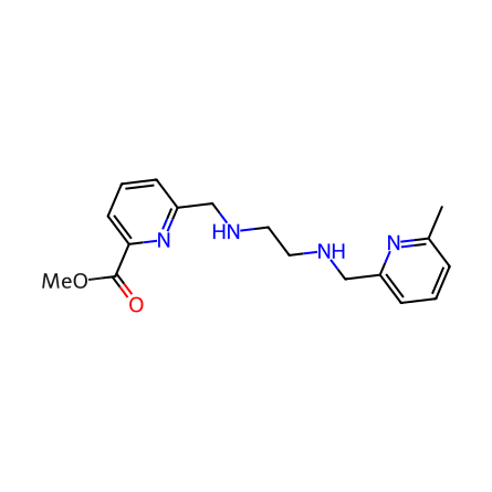 COC(=O)c1cccc(CNCCNCc2cccc(C)n2)n1